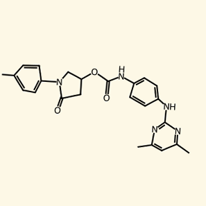 Cc1ccc(N2CC(OC(=O)Nc3ccc(Nc4nc(C)cc(C)n4)cc3)CC2=O)cc1